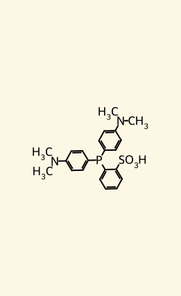 CN(C)c1ccc(P(c2ccc(N(C)C)cc2)c2ccccc2S(=O)(=O)O)cc1